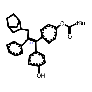 CC(C)(C)C(=O)Oc1ccc(/C(=C(\CC2CC3CCC2C3)c2ccccc2)c2ccc(O)cc2)cc1